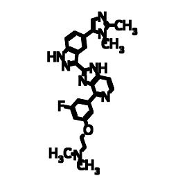 Cc1ncc(-c2ccc3[nH]nc(-c4nc5c(-c6cc(F)cc(OCCN(C)C)c6)nccc5[nH]4)c3c2)n1C